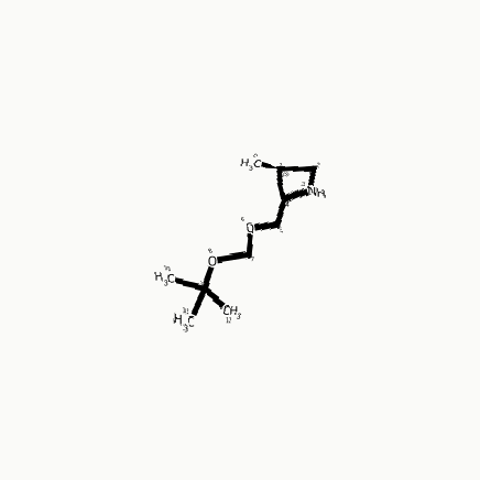 C[C@H]1CNC1COCOC(C)(C)C